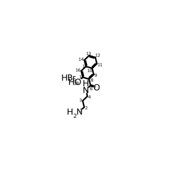 Br.NCCCNC(=O)c1cc2ccccc2cc1O